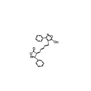 O=C1ON=C(c2ccccc2)/C1=C/C=CC=Cc1c(-c2ccccc2)noc1O